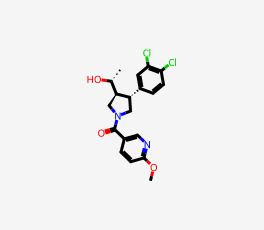 COc1ccc(C(=O)N2C[C@@H]([C@@H](C)O)[C@H](c3ccc(Cl)c(Cl)c3)C2)cn1